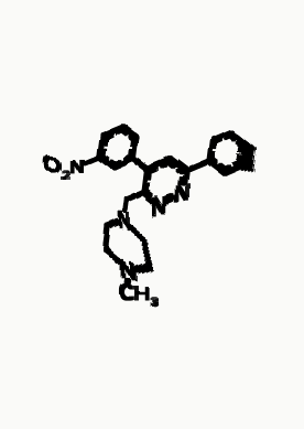 CN1CCN(Cc2nnc(-c3ccccc3)cc2-c2cccc([N+](=O)[O-])c2)CC1